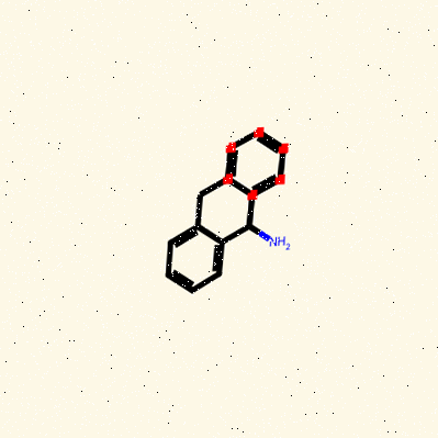 NC12c3ccccc3C(c3ccccc31)c1ccccc12